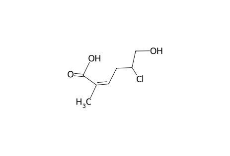 CC(=CCC(Cl)CO)C(=O)O